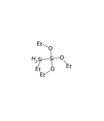 CCO[Si](OCC)(OCC)[SiH2]CC